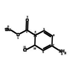 CC(C)(C)OC(=O)N1C=CC(N)=CC1Cl